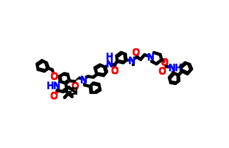 CN(C(=O)CCN1CCC(OC(=O)Nc2ccccc2-c2ccccc2)CC1)c1cccc(C(=O)Nc2ccc(CCN(Cc3ccccc3)C[C@H](O[Si](C)(C)C(C)(C)C)c3ccc(OCc4ccccc4)c4[nH]c(=O)ccc34)cc2)c1